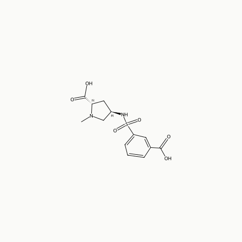 CN1C[C@H](NS(=O)(=O)c2cccc(C(=O)O)c2)C[C@H]1C(=O)O